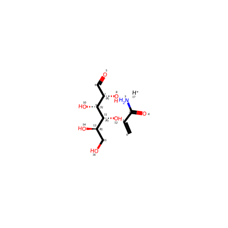 C=CC(N)=O.O=C[C@H](O)[C@@H](O)[C@H](O)[C@H](O)CO.[H+]